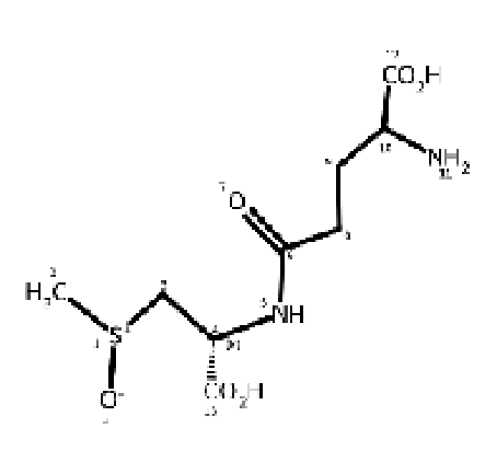 C[S+]([O-])C[C@H](NC(=O)CCC(N)C(=O)O)C(=O)O